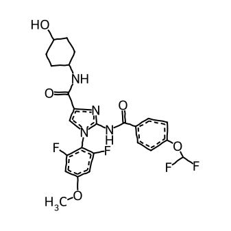 COc1cc(F)c(-n2cc(C(=O)NC3CCC(O)CC3)nc2NC(=O)c2ccc(OC(F)F)cc2)c(F)c1